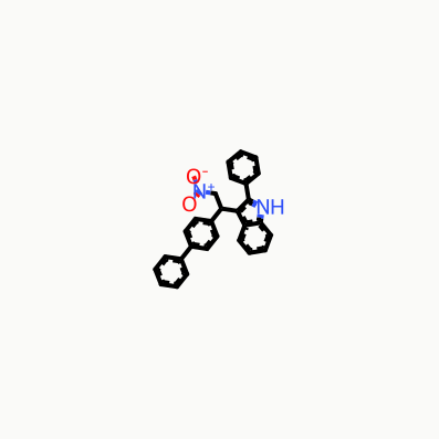 O=[N+]([O-])CC(c1ccc(-c2ccccc2)cc1)c1c(-c2ccccc2)[nH]c2ccccc12